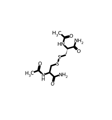 CC(=O)NC(CSSC[C@H](NC(C)=O)C(N)=O)C(N)=O